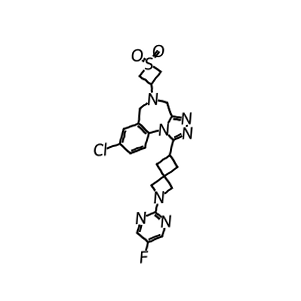 O=S1(=O)CC(N2Cc3cc(Cl)ccc3-n3c(nnc3C3CC4(C3)CN(c3ncc(F)cn3)C4)C2)C1